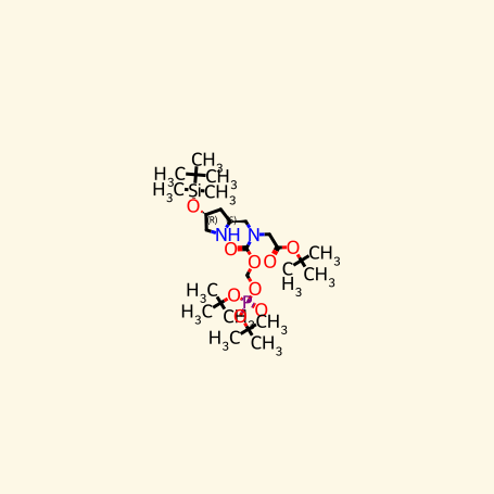 CC(C)(C)OC(=O)CN(C[C@@H]1C[C@@H](O[Si](C)(C)C(C)(C)C)CN1)C(=O)OCOP(=O)(OC(C)(C)C)OC(C)(C)C